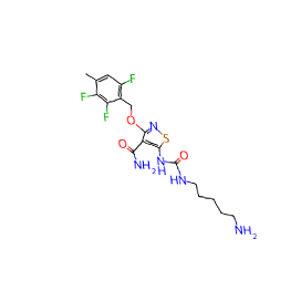 Cc1cc(F)c(COc2nsc(NC(=O)NCCCCCN)c2C(N)=O)c(F)c1F